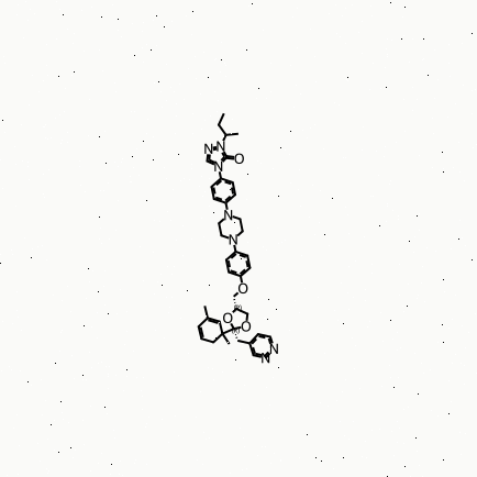 CCC(C)n1ncn(-c2ccc(N3CCN(c4ccc(OC[C@@H]5CO[C@@](Cc6ccnnc6)(C6(C)C=C(C)C=CC6)O5)cc4)CC3)cc2)c1=O